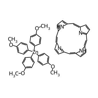 C1=Cc2cc3ccc(cc4nc(cc5ccc(cc1n2)[nH]5)C=C4)[nH]3.COc1cc[c]([Zn]([c]2ccc(OC)cc2)([c]2ccc(OC)cc2)[c]2ccc(OC)cc2)cc1